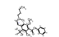 CCCC[S+]([O-])/N=C\c1cc(OC)c(C(=O)Oc2ccccc2)c(C)c1C(F)(F)F